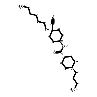 CCCCCCC[C@]1(C#N)CC[C@@H](OC(=O)[C@H]2CC[C@H](CCCC)CC2)CC1